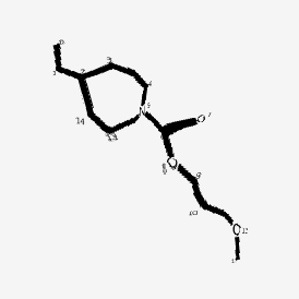 CCC1CCN(C(=O)OCCOC)CC1